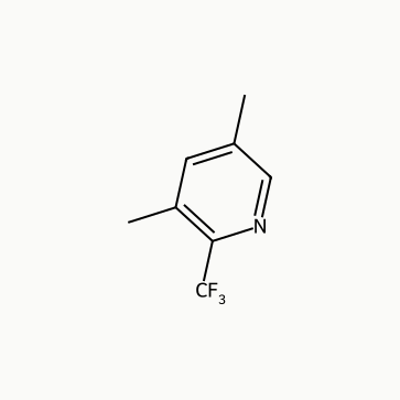 Cc1cnc(C(F)(F)F)c(C)c1